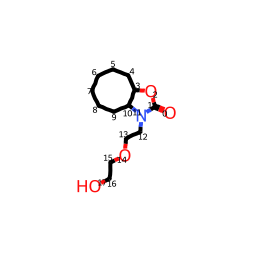 O=C1OC2CCCCCCC2N1CCOCCO